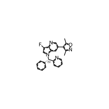 Cc1noc(C)c1-c1cnc2c(F)cn([C@@H](c3ccccc3)c3ccccn3)c2c1